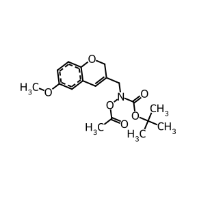 COc1ccc2c(c1)C=C(CN(OC(C)=O)C(=O)OC(C)(C)C)CO2